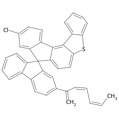 C=C(/C=C\C=C/C)c1ccc2c(c1)C1(c3ccccc3-2)c2cc(Cl)ccc2-c2c1ccc1sc3ccccc3c21